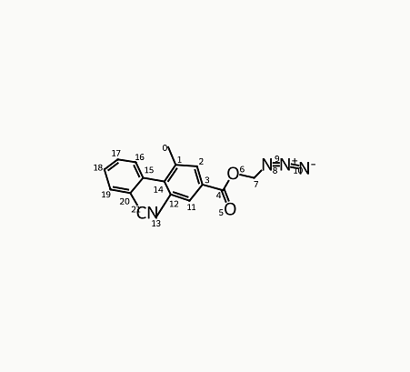 Cc1cc(C(=O)OCN=[N+]=[N-])cc(C)c1-c1ccccc1C#N